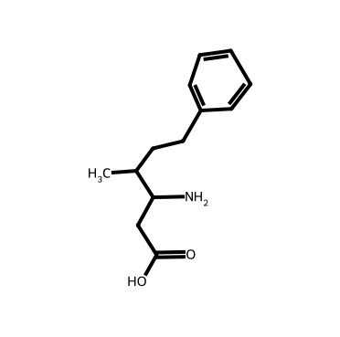 CC(CCc1ccccc1)C(N)CC(=O)O